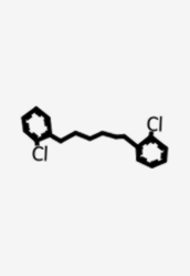 Clc1ccccc1CCCCCCc1ccccc1Cl